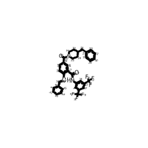 O=C(Nc1cc(C(F)(F)F)cc(C(F)(F)F)c1)c1cc(C(=O)N2CCC(Cc3ccccc3)CC2)ccc1OCc1ccccc1